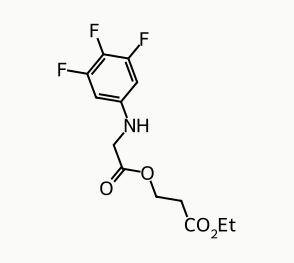 CCOC(=O)CCOC(=O)CNc1cc(F)c(F)c(F)c1